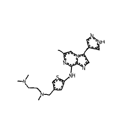 Cc1cn2c(-c3cn[nH]c3)cnc2c(Nc2cc(CN(C)CCN(C)C)cs2)n1